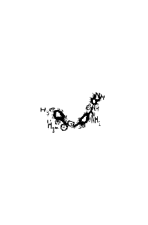 [2H]c1cc2cc(NC(=O)C(CN)c3ccc(COC(=O)c4ccc(C)cc4C)cc3)ccc2cn1